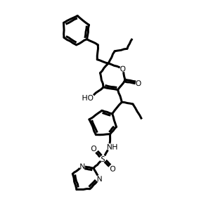 CCCC1(CCc2ccccc2)CC(O)=C(C(CC)c2cccc(NS(=O)(=O)c3ncccn3)c2)C(=O)O1